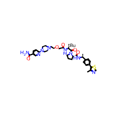 Cc1ncsc1-c1ccc([C@H](C)NC(=O)[C@@H]2CCCN2C(=O)C(NC(=O)COCCN2CCN(c3ccc(C(N)=O)cn3)CC2)C(C)(C)C)cc1